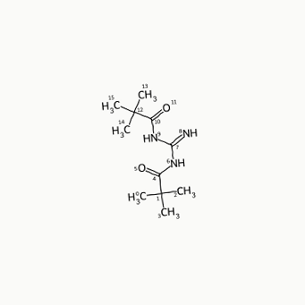 CC(C)(C)C(=O)NC(=N)NC(=O)C(C)(C)C